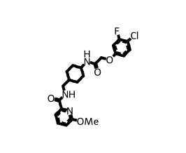 COc1cccc(C(=O)NCC2CCC(NC(=O)COc3ccc(Cl)c(F)c3)CC2)n1